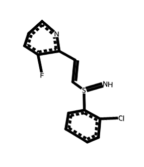 N=S(/C=C/c1ncccc1F)c1ccccc1Cl